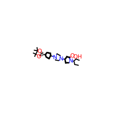 CCC(C(C)O)n1ccc(N2CCN(c3ccc(B4OC(C)(C)C(C)(C)O4)cc3)CC2)cc1=O